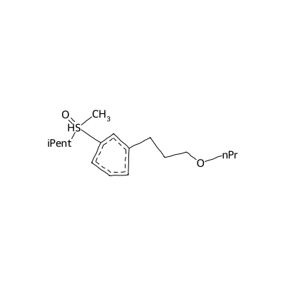 CCCOCCCc1cccc([SH](C)(=O)C(C)CCC)c1